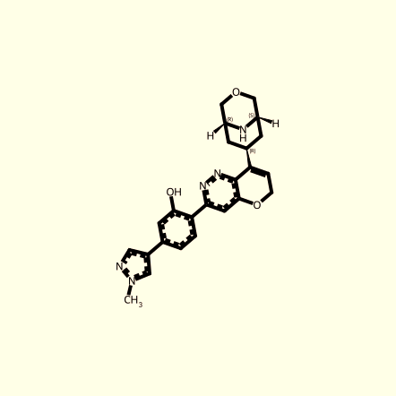 Cn1cc(-c2ccc(-c3cc4c(nn3)C([C@@H]3C[C@H]5COC[C@@H](C3)N5)=CCO4)c(O)c2)cn1